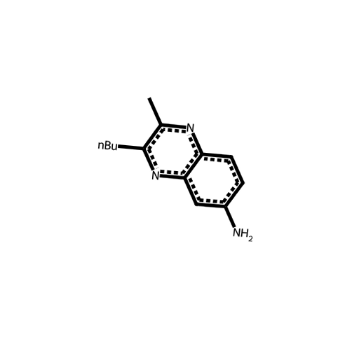 CCCCc1nc2cc(N)ccc2nc1C